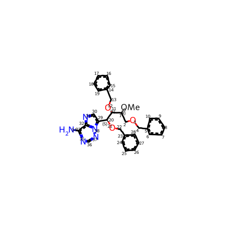 CO[C@H](COCc1ccccc1)[C@@H](OCc1ccccc1)[C@@H](OCc1ccccc1)c1cnc2c(N)ncnn12